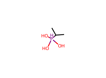 CC(C)[PH](O)(O)O